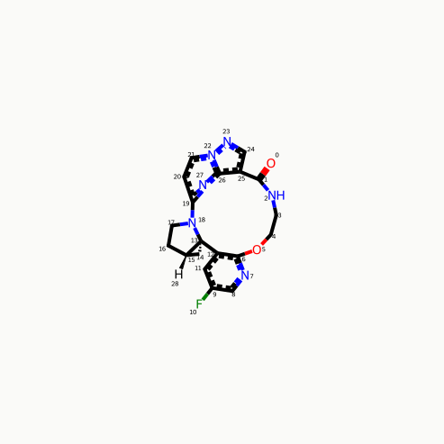 O=C1NCCOc2ncc(F)cc2[C@@]23C[C@@H]2CCN3c2ccn3ncc1c3n2